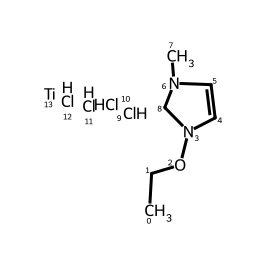 CCON1C=CN(C)C1.Cl.Cl.Cl.Cl.[Ti]